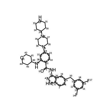 O=C(Nc1n[nH]c2ccc(Cc3cc(F)cc(F)c3)cc12)c1ccc(N2CCN(C3CCNCC3)CC2)cc1NC1CCOCC1